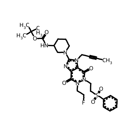 CC#CCn1c(N2CCCC(NC(=O)OC(C)(C)C)C2)nc2c(=O)n(CCF)n(CCS(=O)(=O)c3ccccc3)c(=O)c21